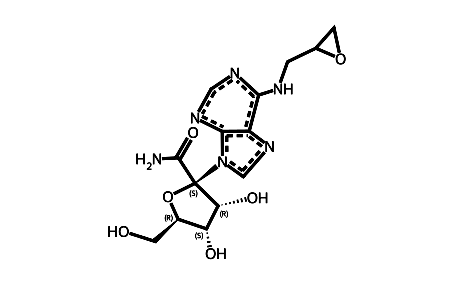 NC(=O)[C@@]1(n2cnc3c(NCC4CO4)ncnc32)O[C@H](CO)[C@@H](O)[C@H]1O